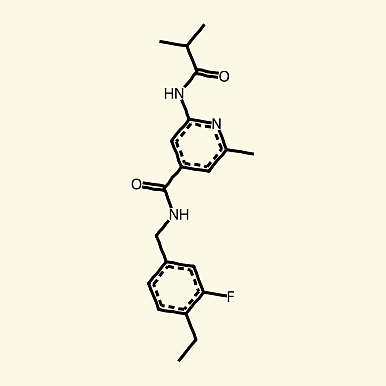 CCc1ccc(CNC(=O)c2cc(C)nc(NC(=O)C(C)C)c2)cc1F